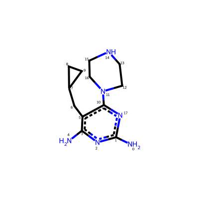 Nc1nc(N)c(CC2CC2)c(N2CCNCC2)n1